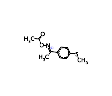 CSc1ccc(/C(C)=N/OC(C)=O)cc1